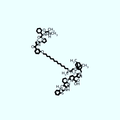 CN[C@@H](C)C(=O)N[C@H](C(=O)N1CCC[C@H]1c1nc(C(=O)c2cccc(OCCCCCCCCCCCCCCN(C)CCOC34CC5(C)CC(C)(CC(Cn6ncc(-c7ccc(N8CCCc9c8nnc(Nc8nc%10ccccc%10s8)c9C)nc7C(=O)O)c6C)(C5)C3)C4)c2)cs1)C1CCCCC1